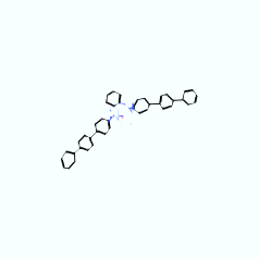 O=c1n(-c2ccc(-c3ccc(-c4ccccc4)cc3)cc2)c2ccccc2n1-c1ccc(-c2ccc(-c3ccccc3)cc2)cc1